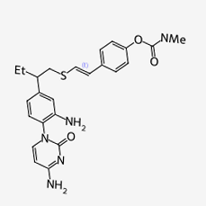 CCC(CS/C=C/c1ccc(OC(=O)NC)cc1)c1ccc(-n2ccc(N)nc2=O)c(N)c1